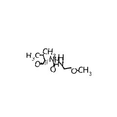 COCCNC(=O)N[C@H]([C]=O)C(C)C